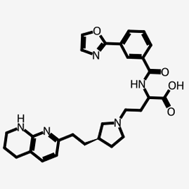 O=C(NC(CCN1CC[C@@H](CCc2ccc3c(n2)NCCC3)C1)C(=O)O)c1cccc(-c2ncco2)c1